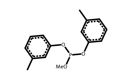 COP(Oc1cccc(C)c1)Oc1cccc(C)c1